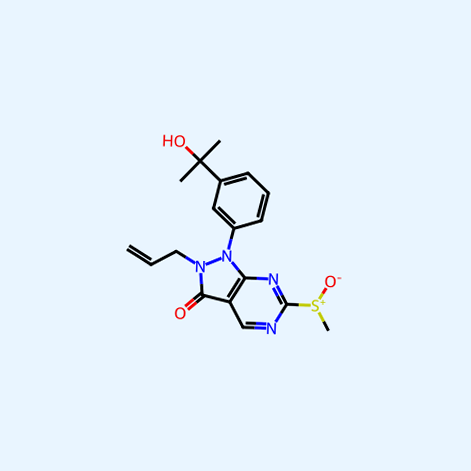 C=CCn1c(=O)c2cnc([S+](C)[O-])nc2n1-c1cccc(C(C)(C)O)c1